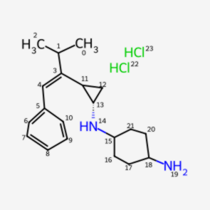 CC(C)C(=Cc1ccccc1)C1C[C@@H]1NC1CCC(N)CC1.Cl.Cl